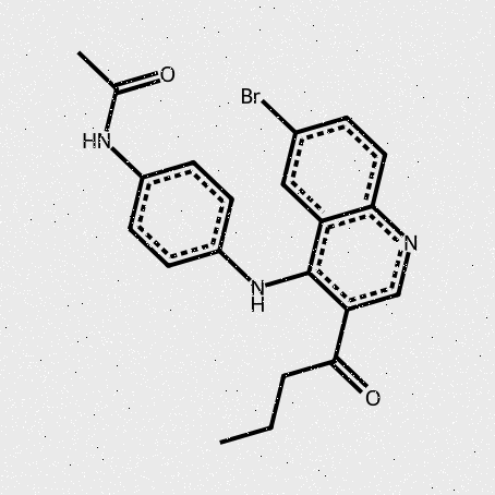 CCCC(=O)c1cnc2ccc(Br)cc2c1Nc1ccc(NC(C)=O)cc1